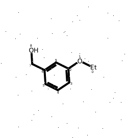 CCOc1cccc(CO)c1